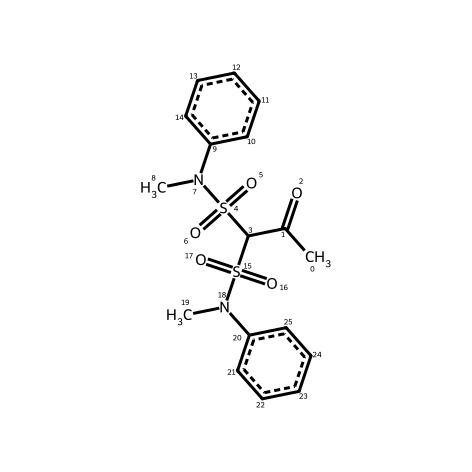 CC(=O)C(S(=O)(=O)N(C)c1ccccc1)S(=O)(=O)N(C)c1ccccc1